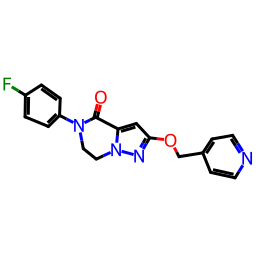 O=C1c2cc(OCc3ccncc3)nn2CCN1c1ccc(F)cc1